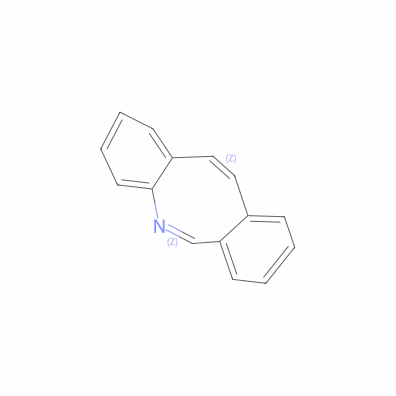 C1=C\c2ccccc2/N=C\c2ccccc2/1